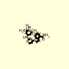 CC1(C)CC(Nc2nccc(-n3ccc4c(C(N)=O)cccc43)n2)CC(C)(C)N1